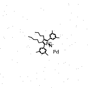 CCCCCC1=C(c2cc(C)cc(C)c2)[N+](=[N-])C(c2cc(C)cc(C)c2)=C1CCCC.[Pd]